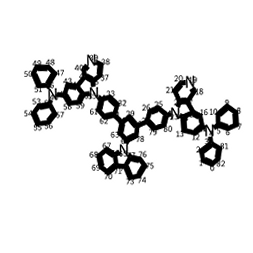 c1ccc(N(c2ccccc2)c2ccc3c(c2)c2cnccc2n3-c2ccc(-c3cc(-c4ccc(-n5c6ccncc6c6cc(N(c7ccccc7)c7ccccc7)ccc65)cc4)cc(-n4c5ccccc5c5ccccc54)c3)cc2)cc1